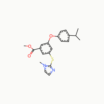 COC(=O)c1cc(Oc2ccc(C(C)C)cc2)cc(Sc2nccn2C)c1